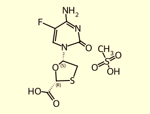 CS(=O)(=O)O.Nc1nc(=O)n([C@@H]2CS[C@H](C(=O)O)O2)cc1F